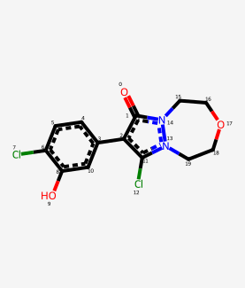 O=c1c(-c2ccc(Cl)c(O)c2)c(Cl)n2n1CCOCC2